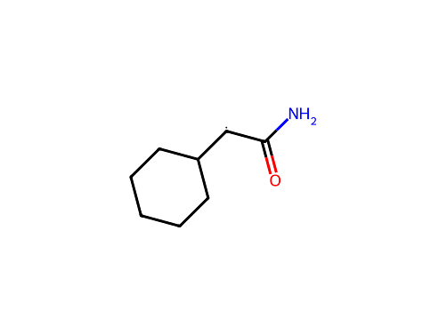 NC(=O)[CH]C1CCCCC1